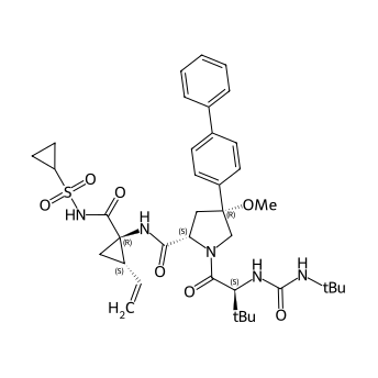 C=C[C@@H]1C[C@]1(NC(=O)[C@@H]1C[C@@](OC)(c2ccc(-c3ccccc3)cc2)CN1C(=O)[C@@H](NC(=O)NC(C)(C)C)C(C)(C)C)C(=O)NS(=O)(=O)C1CC1